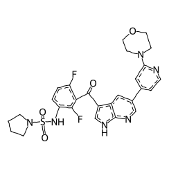 O=C(c1c(F)ccc(NS(=O)(=O)N2CCCC2)c1F)c1c[nH]c2ncc(-c3ccnc(N4CCOCC4)c3)cc12